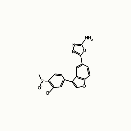 C[S+]([O-])c1ccc(-c2coc3ccc(-c4nnc(N)o4)cc23)cc1Cl